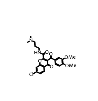 COc1ccc(C(=O)c2c(C(=O)NCCCN(C)C)oc3cc(Cl)ccc3c2=O)cc1OC